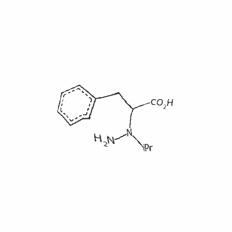 CC(C)N(N)C(Cc1ccccc1)C(=O)O